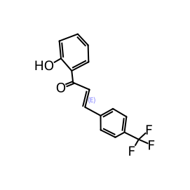 O=C(/C=C/c1ccc(C(F)(F)F)cc1)c1ccccc1O